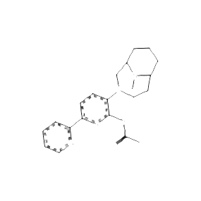 CC(=O)Nc1nc(-c2ccccn2)ccc1N1CCC2CCCC(C1)N2C